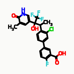 Cc1cc(C(O)(C(C)c2ccc(-c3ccc(F)c(C(=O)O)c3)cc2Cl)C(F)(F)F)c[nH]c1=O